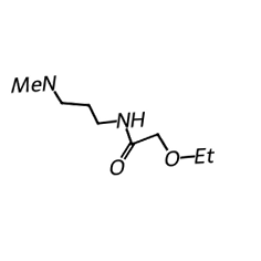 CCOCC(=O)NCCCNC